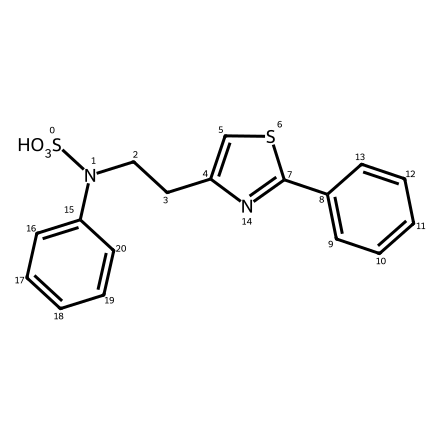 O=S(=O)(O)N(CCc1csc(-c2ccccc2)n1)c1ccccc1